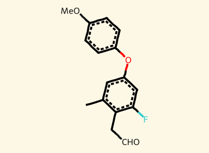 COc1ccc(Oc2cc(C)c(CC=O)c(F)c2)cc1